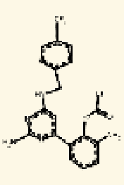 CCC(=O)Oc1c(N)cccc1-c1cc(NCc2ccc(C(F)(F)F)cc2)nc(N)n1